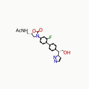 CC(=O)NC[C@H]1CN(c2ccc(-c3ccc([C@H](CO)C4C=CN=N4)cc3)c(F)c2)C(=O)O1